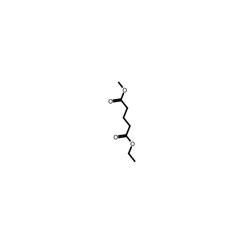 CCOC(=O)CCCC(=O)OC